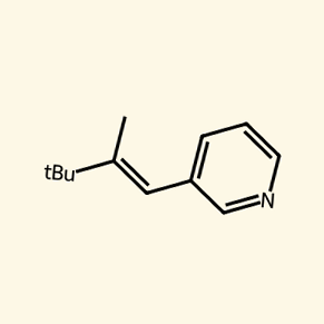 C/C(=C\c1cccnc1)C(C)(C)C